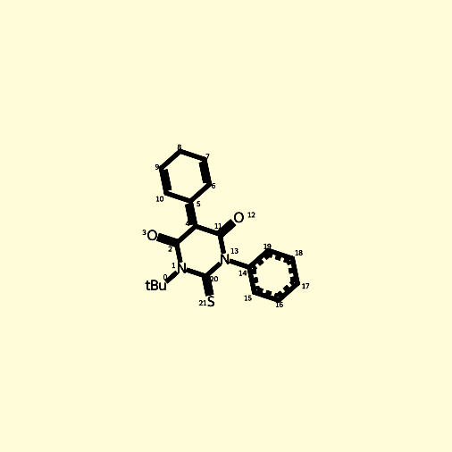 CC(C)(C)N1C(=O)C(=C2C=CCC=C2)C(=O)N(c2ccccc2)C1=S